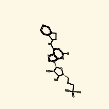 O=P(O)(O)COC[C@H]1O[C@@H](n2nnc3c(NC4CCc5ccccc54)nc(Cl)nc32)[C@H](O)[C@@H]1O